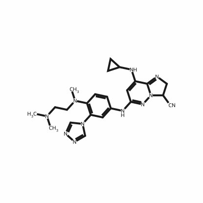 CN(C)CCN(C)c1ccc(NC2=NN3C(=NCC3C#N)C(NC3CC3)=C2)cc1-n1cnnc1